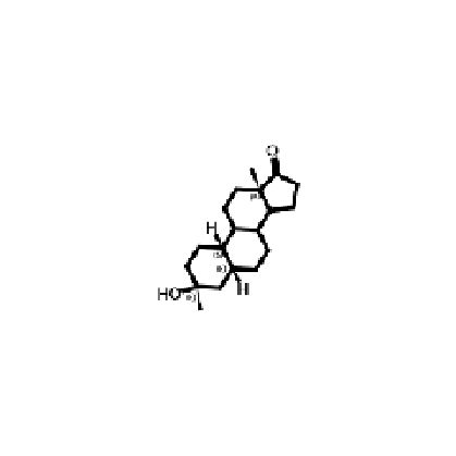 C[C@@]1(O)CC[C@@H]2C3CC[C@]4(C)C(=O)CCC4C3CC[C@@H]2C1